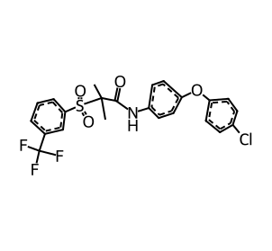 CC(C)(C(=O)Nc1ccc(Oc2ccc(Cl)cc2)cc1)S(=O)(=O)c1cccc(C(F)(F)F)c1